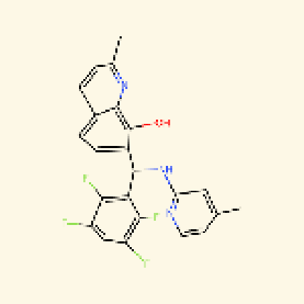 Cc1ccnc(NC(c2ccc3ccc(C)nc3c2O)c2c(F)c(F)cc(F)c2F)c1